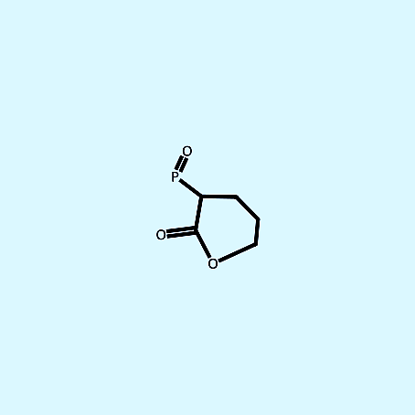 O=PC1CCCOC1=O